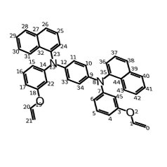 C=COc1cccc(N(c2ccc(N(c3cccc(OC=C)c3)c3cccc4ccccc34)cc2)c2cccc3ccccc23)c1